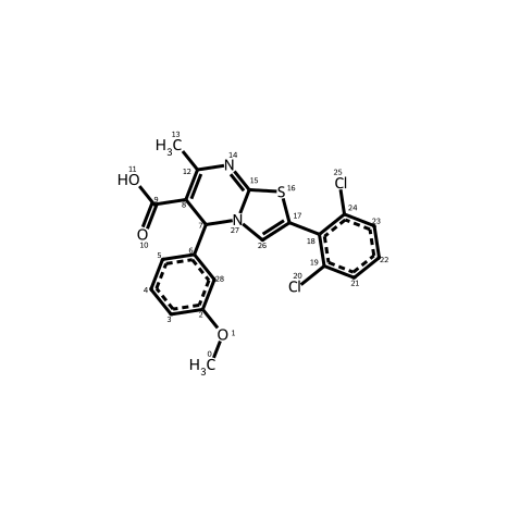 COc1cccc(C2C(C(=O)O)=C(C)N=C3SC(c4c(Cl)cccc4Cl)=CN32)c1